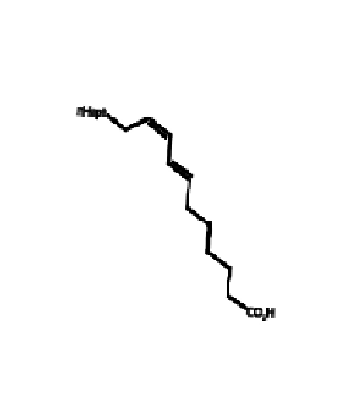 CCCCCCCC/C=C\C=C\CCCCCC(=O)O